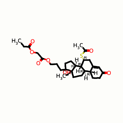 CCC(=O)OCC(=O)OCCC[C@]1(O)CC[C@H]2[C@H]3[C@H](CC[C@@]21CC)[C@H]1CCC(=O)C=C1C[C@H]3SC(C)=O